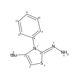 CC(C)(C)c1csc(=NN)n1-c1ccccc1